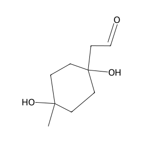 CC1(O)CCC(O)(CC=O)CC1